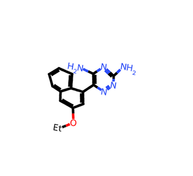 CCOc1cc(-c2nnc(N)nc2N)c2ccccc2c1